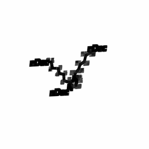 CCCCCCCCCCCCCCCCc1n(CCCCCCCCCC)cc[n+]1CCCCCCCCCCCCCCCC